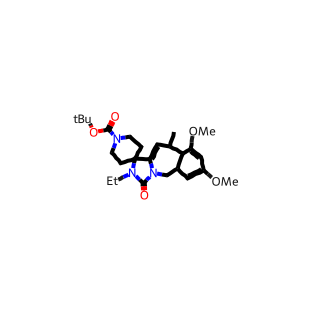 CCN1C(=O)N2CC3C=C(OC)C=C(OC)C3C(C)C=C2C12CCN(C(=O)OC(C)(C)C)CC2